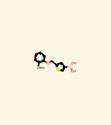 COc1ccccc1OCc1cc(B(O)O)cs1